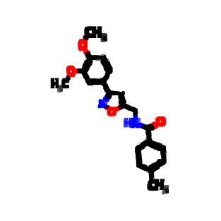 COc1ccc(-c2cc(CNC(=O)c3ccc(C)cc3)on2)cc1OC